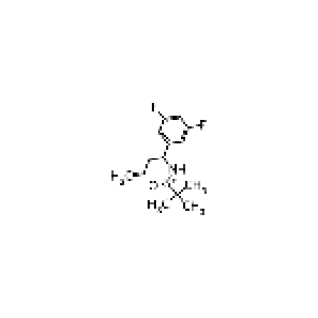 C=CCC(N[S@@+]([O-])C(C)(C)C)c1cc(F)cc(F)c1